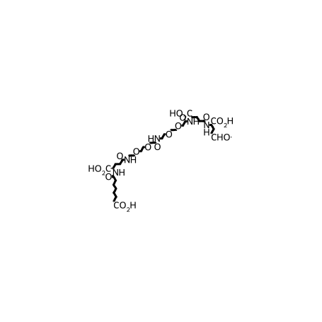 O=[C]CC[C@H](NC(=O)CC[C@H](NC(=O)COCCOCCNC(=O)COCCOCCNC(=O)CC[C@H](NC(=O)CCCCCCC(=O)O)C(=O)O)C(=O)O)C(=O)O